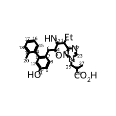 CCC(C(=N)C(=O)Cc1ccc(O)cc1-c1ccccc1C)c1ncn(CC(C)C(=O)O)n1